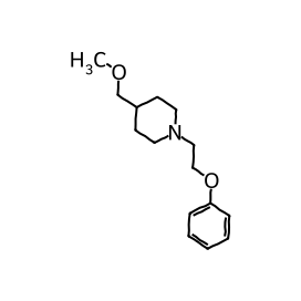 COCC1CCN(CCOc2ccccc2)CC1